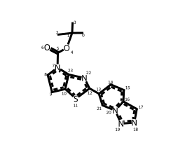 CC(C)(C)OC(=O)n1ccc2sc(-c3ccc4cnnn4c3)nc21